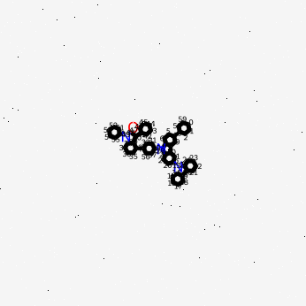 c1ccc(-c2ccc3c(c2)c2cc(-n4c5ccccc5c5ccccc54)ccc2n3-c2ccc(-c3cccc4c3c3c5ccccc5oc3n4-c3ccccc3)cc2)cc1